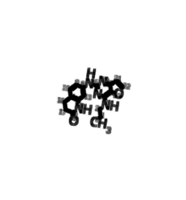 CCCNc1nc(Nc2ccc3c(c2)NC(=O)CC3)nc2ccoc12